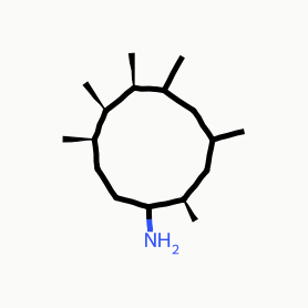 CC1CC(C)[C@H](C)[C@H](C)[C@H](C)CCC(N)[C@H](C)C1